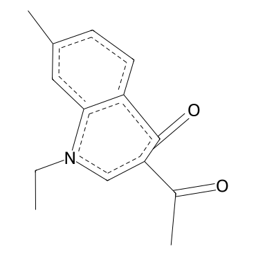 CCn1cc(C(C)=O)c(=O)c2ccc(C)cc21